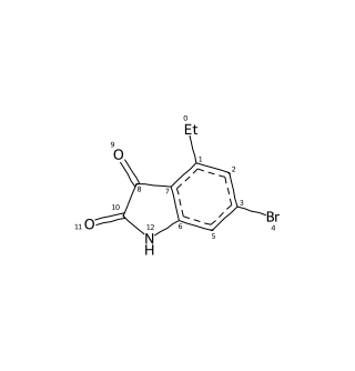 CCc1cc(Br)cc2c1C(=O)C(=O)N2